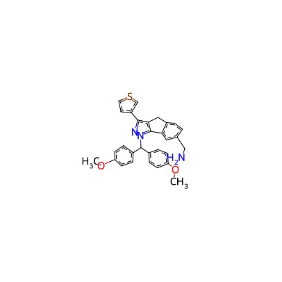 COc1ccc(C(c2ccc(OC)cc2)n2nc(-c3ccsc3)c3c2-c2cc(CN)ccc2C3)cc1